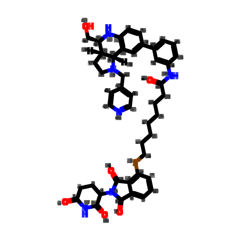 O=C1CCC(N2C(=O)c3cccc(SCCCCCCCC(=O)Nc4cccc(-c5ccc6c(c5)[C@H]5[C@H](CCN5Cc5ccncc5)[C@@H](CO)N6)c4)c3C2=O)C(=O)N1